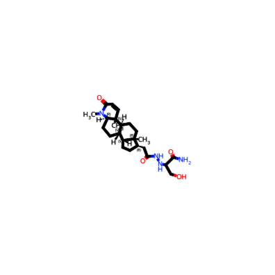 CN1C(=O)C=C[C@]2(C)[C@H]3CC[C@]4(C)[C@@H](CC(=O)NNC(CO)C(N)=O)CC[C@H]4[C@@H]3CC[C@@H]12